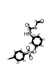 Cc1ccc(S(=O)(=O)Oc2cccc(NC(=O)SC=O)c2)cc1